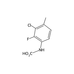 Cc1ccc(NC(=O)O)c(F)c1Cl